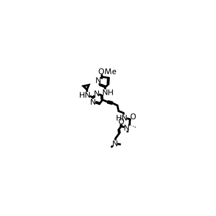 COc1ccc(Nc2nc(NC3CC3)ncc2C#CCCCNC(=O)[C@H](C)N(C)C(=O)/C=C/CN(C)C)cn1